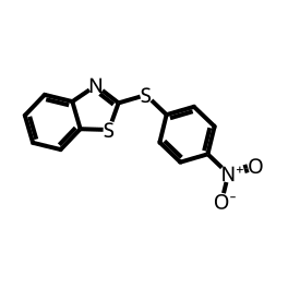 O=[N+]([O-])c1ccc(Sc2nc3ccccc3s2)cc1